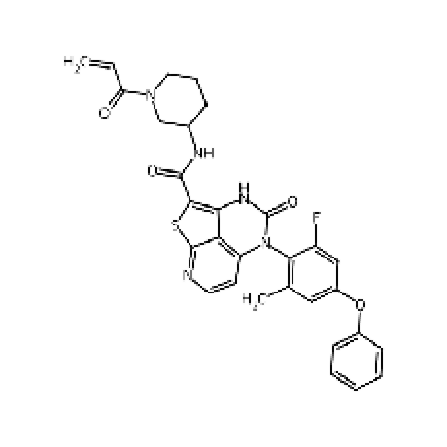 C=CC(=O)N1CCCC(NC(=O)c2sc3nccc4c3c2NC(=O)N4c2c(C)cc(Oc3ccccc3)cc2F)C1